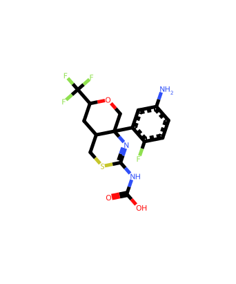 Nc1ccc(F)c(C23COC(C(F)(F)F)CC2CSC(NC(=O)O)=N3)c1